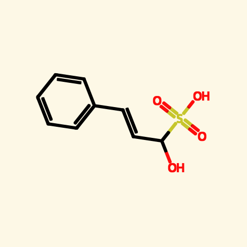 O=S(=O)(O)C(O)C=Cc1ccccc1